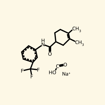 CC1=C(C)CC(C(=O)Nc2cccc(C(F)(F)F)c2)CC1.O=[C-]O.[Na+]